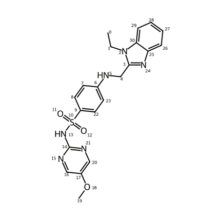 CCn1c(CNc2ccc(S(=O)(=O)Nc3ncc(OC)cn3)cc2)nc2ccccc21